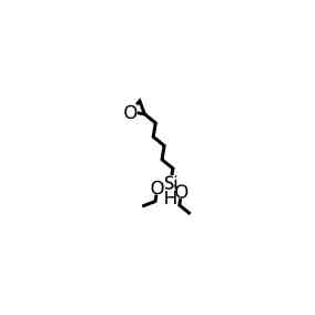 CCO[SiH](CCCCCC1CO1)OCC